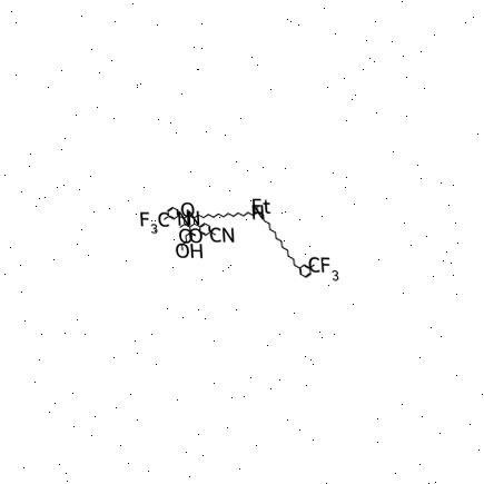 CCN(CCCCCCCCCCCCc1cccc(C(F)(F)F)c1)CCCCCCCCCCCCN1C(=O)N(c2cccc(C(F)(F)F)c2)C(C)=C(C(=O)OCCO)C1c1ccc(C#N)cc1